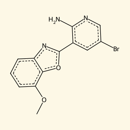 COc1cccc2nc(-c3cc(Br)cnc3N)oc12